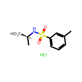 Cc1cccc(S(=O)(=O)N[C@@H](C)C(=O)O)c1.Cl